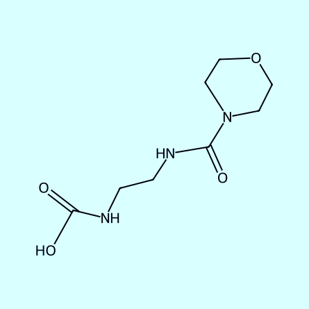 O=C(O)NCCNC(=O)N1CCOCC1